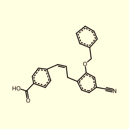 N#Cc1ccc(C/C=C\c2ccc(C(=O)O)cc2)c(OCc2ccccc2)c1